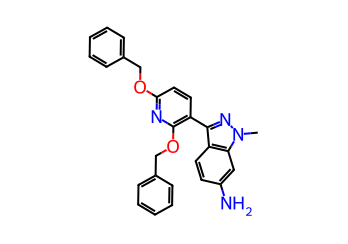 Cn1nc(-c2ccc(OCc3ccccc3)nc2OCc2ccccc2)c2ccc(N)cc21